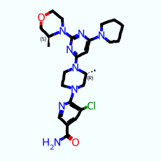 C[C@@H]1CN(c2ncc(C(N)=O)cc2Cl)CCN1c1cc(N2CCCCC2)nc(N2CCOC[C@@H]2C)n1